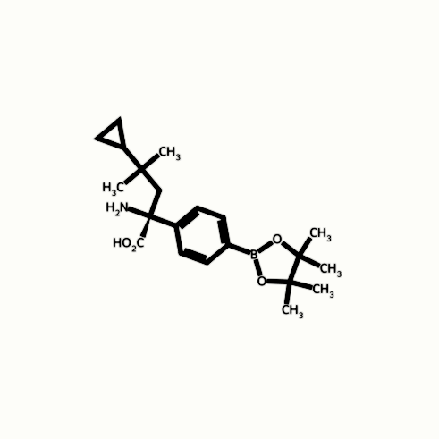 CC(C)(C[C@](N)(C(=O)O)c1ccc(B2OC(C)(C)C(C)(C)O2)cc1)C1CC1